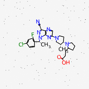 C[C@@H]1CN(c2cnc3c(C#N)nn([C@H](C)c4ccc(Cl)cc4F)c3n2)CC[C@@H]1N1CCCC1CCC(=O)O